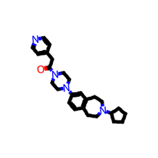 O=C(Cc1ccncc1)N1CCN(c2ccc3c(c2)CCN(C2CCCC2)CC3)CC1